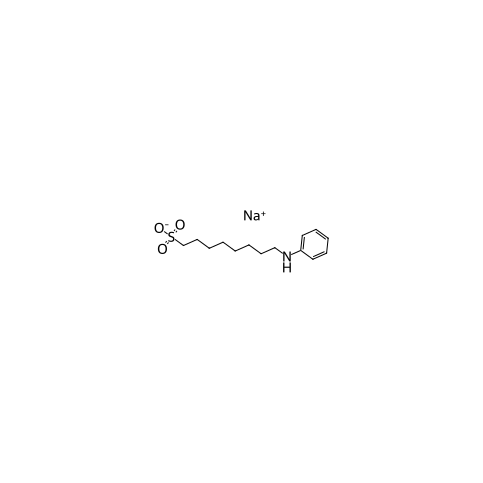 O=S(=O)([O-])CCCCCCCCNc1ccccc1.[Na+]